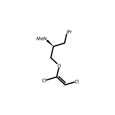 CN[C@H](CO/C(Cl)=C\Cl)CC(C)C